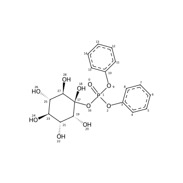 O=P(Oc1ccccc1)(Oc1ccccc1)O[C@]1(O)[C@H](O)[C@H](O)[C@@H](O)[C@H](O)[C@H]1O